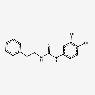 Oc1ccc(NC(=S)NCCc2ccccc2)cc1O